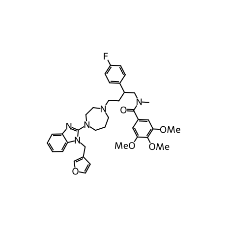 COc1cc(C(=O)N(C)CC(CCN2CCCN(c3nc4ccccc4n3Cc3ccoc3)CC2)c2ccc(F)cc2)cc(OC)c1OC